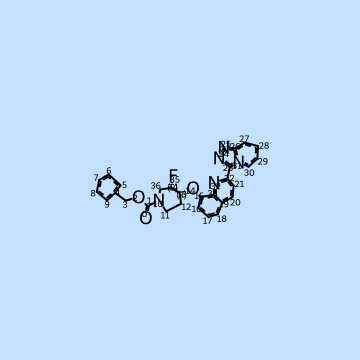 O=C(OCc1ccccc1)N1CC[C@@H](Oc2cccc3ccc(-c4nnc5ccccn45)nc23)[C@@H](F)C1